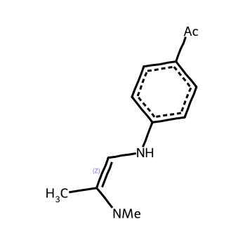 CN/C(C)=C\Nc1ccc(C(C)=O)cc1